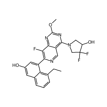 CCc1cccc2cc(O)cc(-c3ncc4c(N5CC(O)C(F)(F)C5)nc(OC)nc4c3F)c12